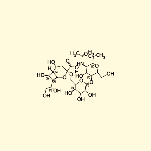 CC(=O)NC1C(O)[C@H](O[C@@H]2OC(COC3(C(=O)O)CC(O)[C@@H]4C(O3)[C@@H]([C@H](O)CO)[C@H]4O)[C@H](O)C(O)C2O)C(CO)O[C@H]1C(C)C